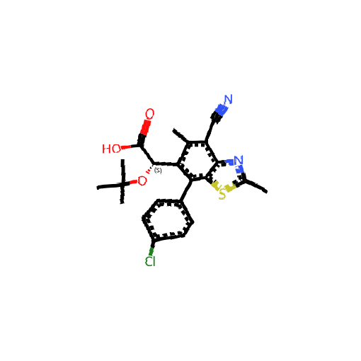 Cc1nc2c(C#N)c(C)c([C@H](OC(C)(C)C)C(=O)O)c(-c3ccc(Cl)cc3)c2s1